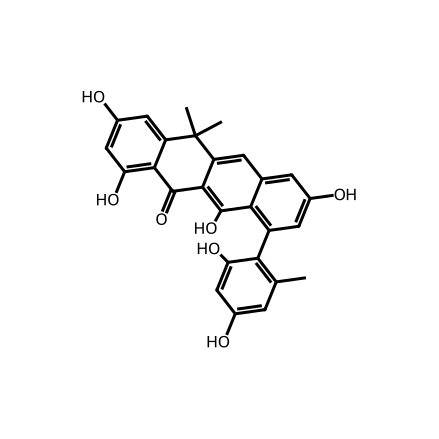 Cc1cc(O)cc(O)c1-c1cc(O)cc2cc3c(c(O)c12)C(=O)c1c(O)cc(O)cc1C3(C)C